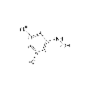 ONc1cc(Cl)cc(Cl)c1